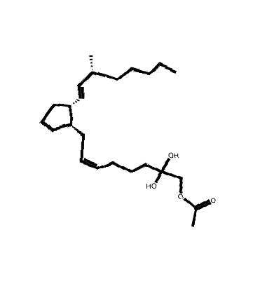 CCCCC[C@@H](C)/C=C/[C@H]1CCC[C@@H]1C/C=C\CCCC(O)(O)COC(C)=O